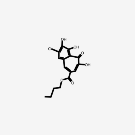 CCCCOC(=O)c1cc(O)c(=O)c2c(O)c(O)c(Cl)cc2c1